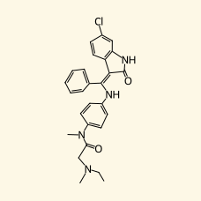 CCN(C)CC(=O)N(C)c1ccc(N/C(=C2\C(=O)Nc3cc(Cl)ccc32)c2ccccc2)cc1